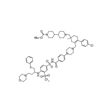 CC1(CN2CCC(C3CCN(C(=O)OC(C)(C)C)CC3)CC2)CCC(c2ccc(Cl)cc2)=C(CN2CCN(c3ccc(C(=O)NS(=O)(=O)c4ccc(NC(CCN5CCOCC5)CSc5ccccc5)c(S(=O)(=O)C(F)(F)F)c4)cc3)CC2)C1